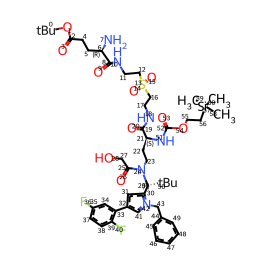 CC(C)(C)OC(=O)CC[C@@H](N)C(=O)NCCS(=O)(=O)CCNC(=O)[C@H](CCN(C(=O)CO)[C@@H](c1cc(-c2cc(F)ccc2F)cn1Cc1ccccc1)C(C)(C)C)NC(=O)OCC[Si](C)(C)C